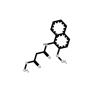 COC(=O)CC(=O)Nc1c(OC)ccc2ccccc12